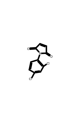 O=C1C=CC(=O)N1c1ccc(Cl)cc1Cl